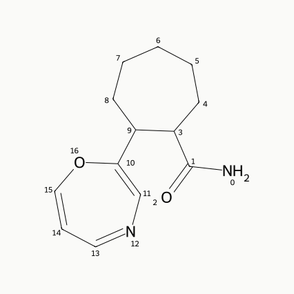 NC(=O)C1CCCCCC1C1=CN=CC=CO1